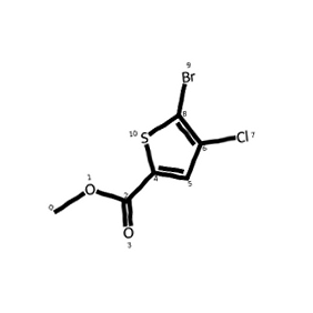 COC(=O)c1cc(Cl)c(Br)s1